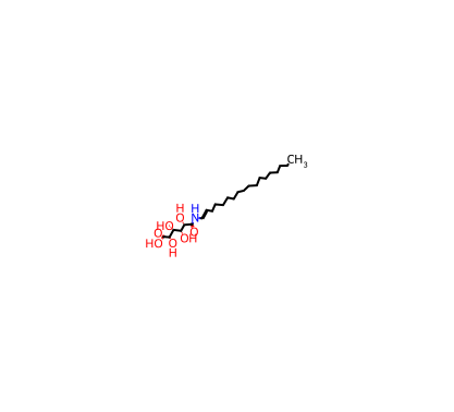 CCCCCCCCCCCCCCCCC=CNC(=O)[C@@H](O)[C@H](O)[C@@H](O)[C@@H](O)C(=O)O